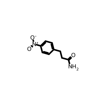 NC(=O)CCc1ccc([N+](=O)[O-])cc1